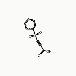 O=C(O)C#CS(=O)(=O)c1ccccc1